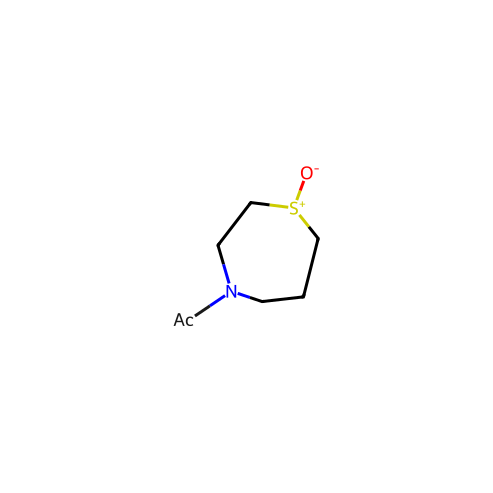 CC(=O)N1CCC[S+]([O-])CC1